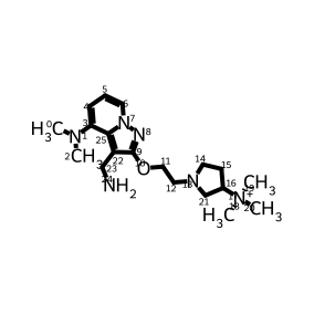 CN(C)c1cccn2nc(OCCN3CCC([N+](C)(C)C)C3)c(CN)c12